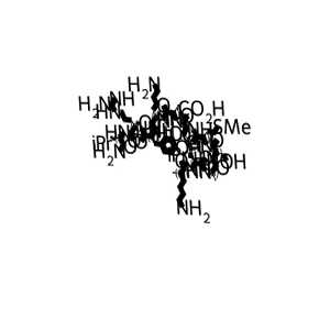 CSCC[C@H](NC(=O)[C@H](CO)NC(=O)[C@H](C)NC(=O)[C@H](CC(C)C)NC(=O)[C@@H](C)CCCCN)C(=O)N[C@H](C(=O)N[C@@H](CC(=O)O)C(=O)N[C@@H](CCCCN)C(=O)N[C@@H](Cc1ccc(O)cc1)C(=O)N[C@@H](CCCNC(=N)N)C(=O)N[C@@H](CC(C)C)C(N)=O)[C@@H](C)O